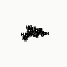 Cl.N#Cc1c(N2C[C@@H]3CCCN(C(=O)[C@@H](N)Cc4ccccc4)[C@@H]3C2)c(F)cc2c(=O)c(OC(=O)O)cn(C3CC3)c12